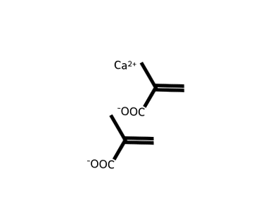 C=C(C)C(=O)[O-].C=C(C)C(=O)[O-].[Ca+2]